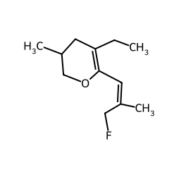 CCC1=C(/C=C(/C)CF)OCC(C)C1